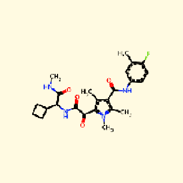 CNC(=O)C(NC(=O)C(=O)c1c(C)c(C(=O)Nc2ccc(F)c(C)c2)c(C)n1C)C1CCC1